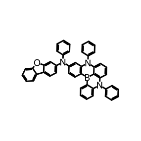 c1ccc(N(c2ccc3c(c2)N(c2ccccc2)c2cccc4c2B3c2ccccc2N4c2ccccc2)c2ccc3c(c2)oc2ccccc23)cc1